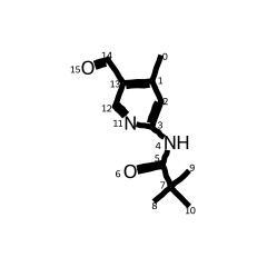 Cc1cc(NC(=O)C(C)(C)C)ncc1C=O